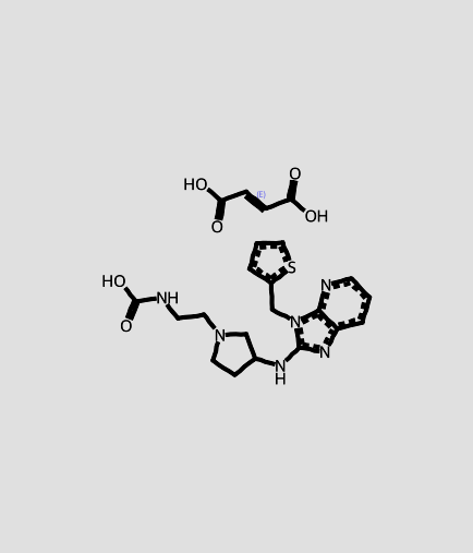 O=C(O)/C=C/C(=O)O.O=C(O)NCCN1CCC(Nc2nc3cccnc3n2Cc2cccs2)C1